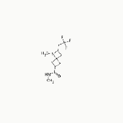 CNC(=O)C1CC2(C1)CC(CC(F)(F)F)N2C